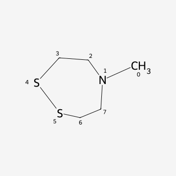 CN1CCSSCC1